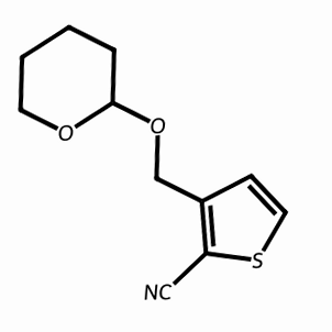 N#Cc1sccc1COC1CCCCO1